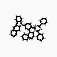 c1ccc(-c2nc(-c3ccccc3)nc(-c3ccc(-n4c5ccccc5c5cc6ccccc6cc54)cc3-c3cccc4ccccc34)n2)cc1